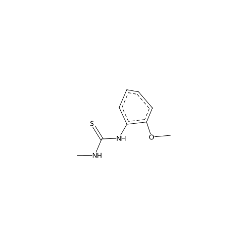 CNC(=S)Nc1ccccc1OC